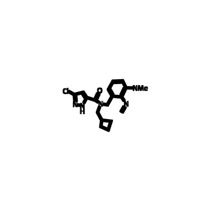 C=Nc1c(CN(CC2CCC2)C(=O)c2cc(Cl)n[nH]2)cccc1NC